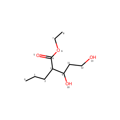 CCCC(C(=O)OCC)C(O)CCO